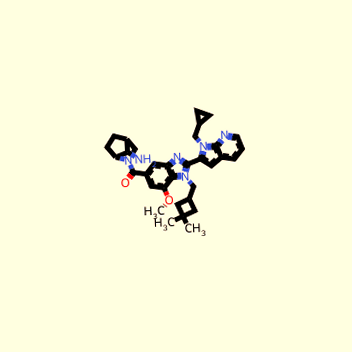 COc1cc(C(=O)N2CC3CCC2C3N)cc2nc(-c3cc4cccnc4n3CC3CC3)n(CC3CC(C)(C)C3)c12